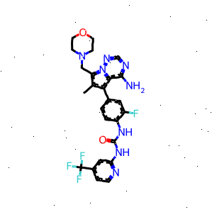 Cc1c(-c2ccc(NC(=O)Nc3cc(C(F)(F)F)ccn3)c(F)c2)c2c(N)ncnn2c1CN1CCOCC1